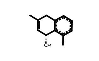 CC1=C[C@@H](O)c2c(C)cccc2C1